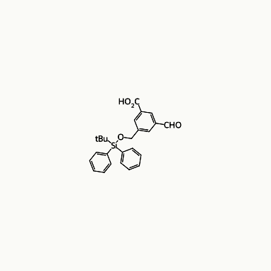 CC(C)(C)[Si](OCc1cc(C=O)cc(C(=O)O)c1)(c1ccccc1)c1ccccc1